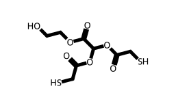 O=C(CS)OC(OC(=O)CS)C(=O)OCCO